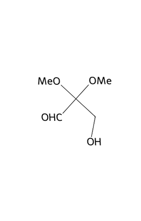 COC(C=O)(CO)OC